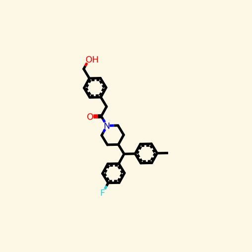 Cc1ccc(C(c2ccc(F)cc2)C2CCN(C(=O)Cc3ccc(CO)cc3)CC2)cc1